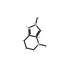 CN1CCCc2nn(C)cc21